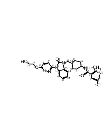 Cc1ncc(Cl)cc1C(=O)NC1CCC(Cn2c(=O)n(-c3ccc(OCCO)nn3)c3ccccc32)CC1